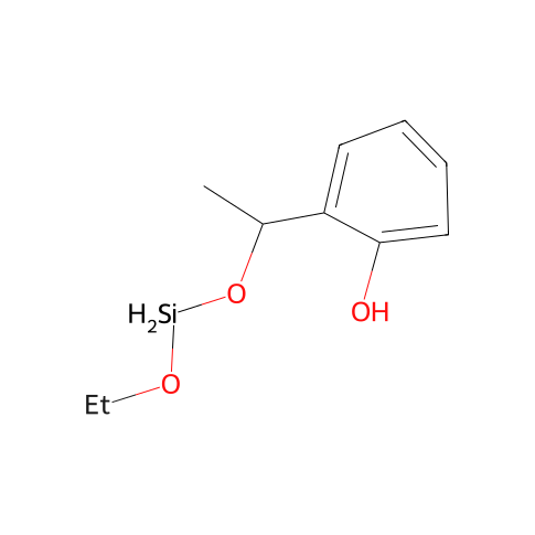 CCO[SiH2]OC(C)c1ccccc1O